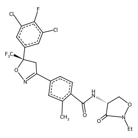 CCN1OC[C@@H](NC(=O)c2ccc(C3=NO[C@@](c4cc(Cl)c(F)c(Cl)c4)(C(F)(F)F)C3)cc2C)C1=O